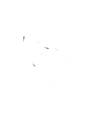 CO[C@]1(C)C[C@H]2CCC[C@@H](C1)[C@@H]2Nc1cc(Cl)ncc1C(N)=O